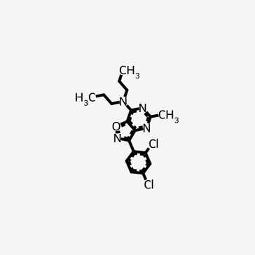 CCCN(CCC)c1nc(C)nc2c(-c3ccc(Cl)cc3Cl)noc12